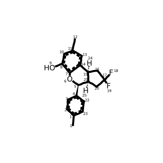 Cc1ccc([C@H]2Oc3c(O)cc(C)cc3[C@H]3CC(F)(F)C[C@H]32)cc1